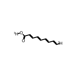 [3H]C=CC=CC=CC=CC(=O)O[3H]